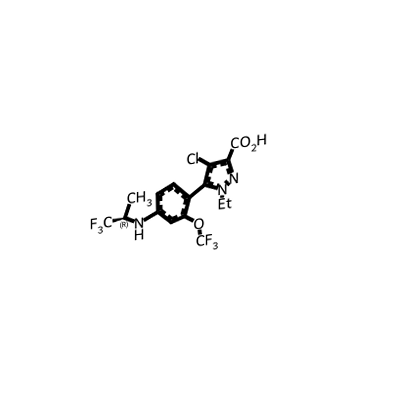 CCn1nc(C(=O)O)c(Cl)c1-c1ccc(N[C@H](C)C(F)(F)F)cc1OC(F)(F)F